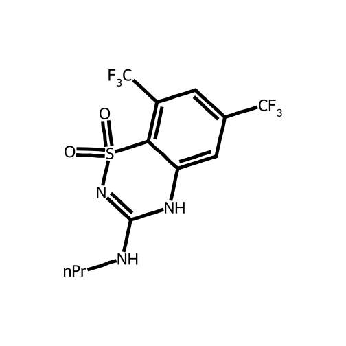 CCCNC1=NS(=O)(=O)c2c(cc(C(F)(F)F)cc2C(F)(F)F)N1